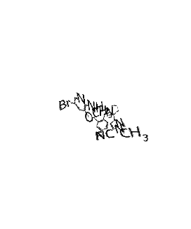 C[C@@H](Oc1cc(Br)cnc1N)c1cc(F)ccc1CN1CCC[C@H]1c1cc(C#N)n(C)n1